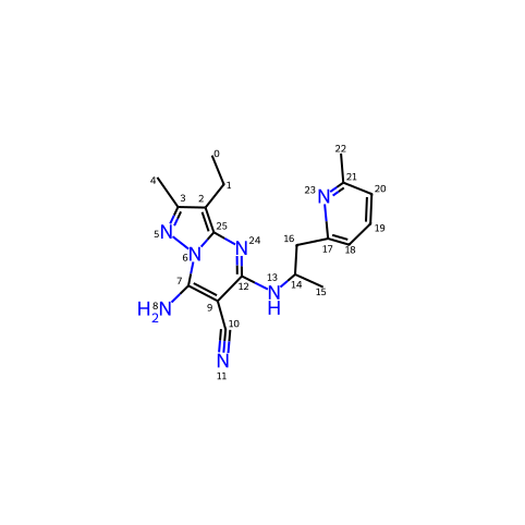 CCc1c(C)nn2c(N)c(C#N)c(NC(C)Cc3cccc(C)n3)nc12